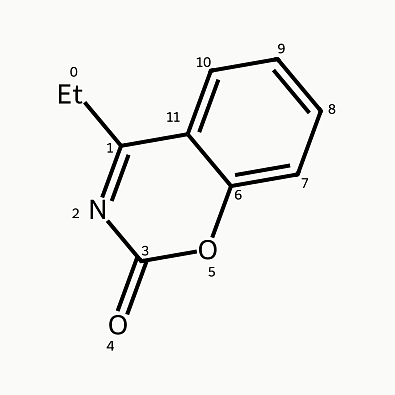 CCc1nc(=O)oc2ccccc12